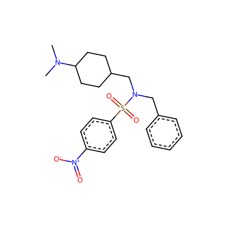 CN(C)C1CCC(CN(Cc2ccccc2)S(=O)(=O)c2ccc([N+](=O)[O-])cc2)CC1